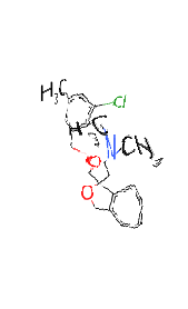 Cc1cc(Cl)cc(COCC2(CCN(C)C)OCc3ccccc32)c1